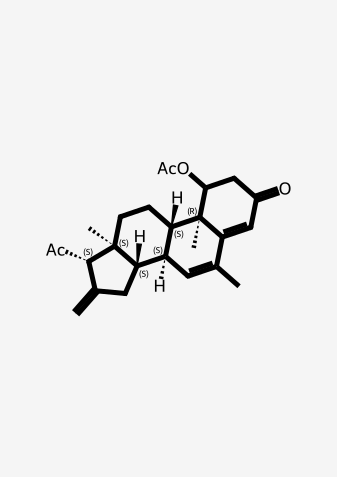 C=C1C[C@H]2[C@@H]3C=C(C)C4=CC(=O)CC(OC(C)=O)[C@]4(C)[C@H]3CC[C@]2(C)[C@H]1C(C)=O